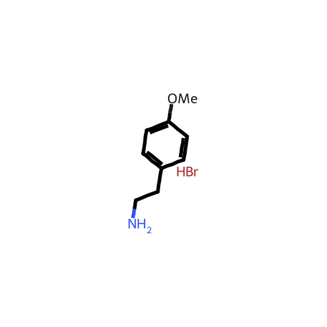 Br.COc1ccc(CCN)cc1